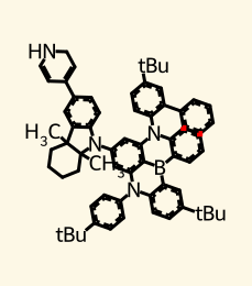 CC(C)(C)c1ccc(N2c3ccc(C(C)(C)C)cc3B3c4ccccc4N(c4ccc(C(C)(C)C)cc4-c4ccccc4)c4cc(N5c6ccc(C7=CCNC=C7)cc6C6(C)CCCCC56C)cc2c43)cc1